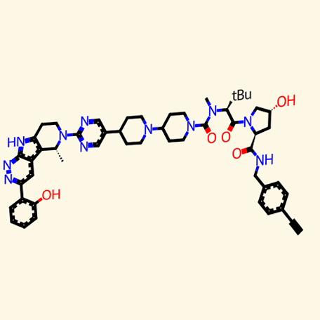 C#Cc1ccc(CNC(=O)[C@@H]2C[C@@H](O)CN2C(=O)[C@@H](N(C)C(=O)N2CCC(N3CCC(c4cnc(N5CCc6[nH]c7nnc(-c8ccccc8O)cc7c6[C@H]5C)nc4)CC3)CC2)C(C)(C)C)cc1